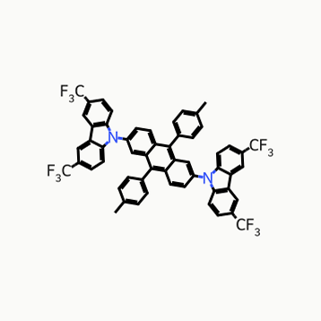 Cc1ccc(-c2c3ccc(-n4c5ccc(C(F)(F)F)cc5c5cc(C(F)(F)F)ccc54)cc3c(-c3ccc(C)cc3)c3ccc(-n4c5ccc(C(F)(F)F)cc5c5cc(C(F)(F)F)ccc54)cc23)cc1